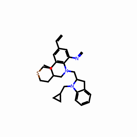 C=Cc1cc(CC)c(N(CC2CCSCC2)CC2Cc3ccccc3N2CC2CC2)c(N=C)c1